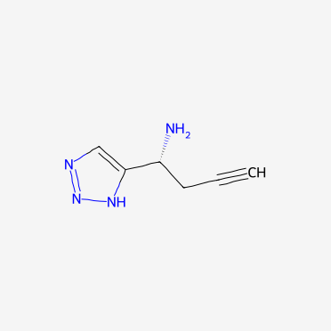 C#CC[C@@H](N)c1cnn[nH]1